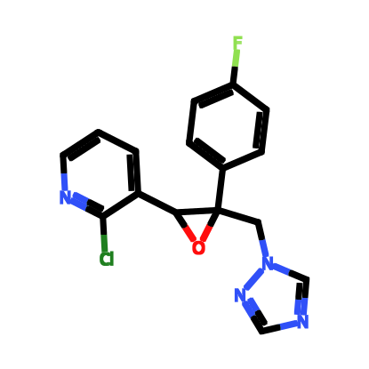 Fc1ccc(C2(Cn3cncn3)OC2c2cccnc2Cl)cc1